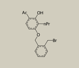 CCCc1c(OCc2ccccc2CBr)ccc(C(C)=O)c1O